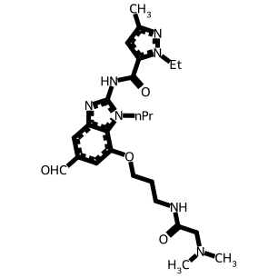 CCCn1c(NC(=O)c2cc(C)nn2CC)nc2cc(C=O)cc(OCCCNC(=O)CN(C)C)c21